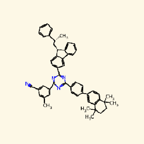 Cc1cc(C#N)cc(-c2nc(-c3ccc(-c4ccc5c(c4)C(C)(C)CCC5(C)C)cc3)nc(-c3ccc4c(c3)-c3ccccc3[C@@H]4C[C@@H](C)c3ccccc3)n2)c1